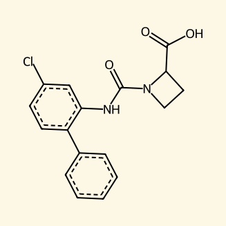 O=C(O)C1CCN1C(=O)Nc1cc(Cl)ccc1-c1ccccc1